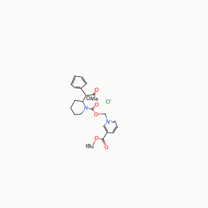 COC(=O)C(c1ccccc1)C1CCCCN1C(=O)OC[n+]1cccc(C(=O)OC(C)(C)C)c1.[Cl-]